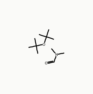 CC(C)(C)OC(C)(C)C.CN(C)C=O